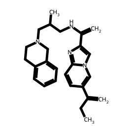 C=C(CC)c1ccc2nc(C(=C)NCC(C)CN3CCc4ccccc4C3)cn2c1